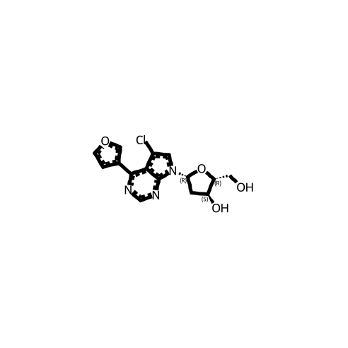 OC[C@H]1O[C@@H](n2cc(Cl)c3c(-c4ccoc4)ncnc32)C[C@@H]1O